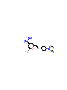 CC1=CC(=C(N)N)C=C(C=Cc2ccc(N(C)C)cc2)O1